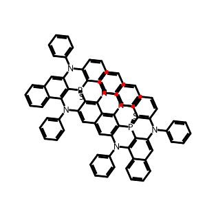 S=P12c3c4cccc3N(c3ccccc3)c3c1c(cc1cc5c6c(c31)N(c1ccccc1)c1cccc3c1P6(=S)c1c(cc6ccccc6c1N5c1ccccc1)N3c1ccccc1)N(c1ccccc1)c1c2c(cc2ccccc12)N4c1ccccc1